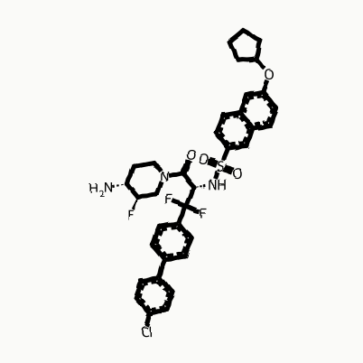 N[C@@H]1CCN(C(=O)[C@H](NS(=O)(=O)c2ccc3cc(OC4CCCC4)ccc3c2)C(F)(F)c2ccc(-c3ccc(Cl)cc3)cc2)C[C@H]1F